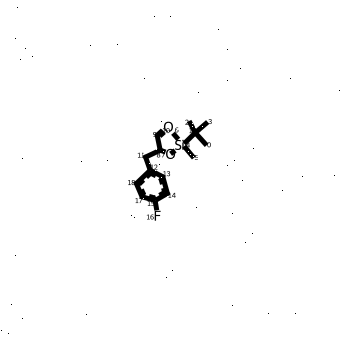 CC(C)(C)[Si](C)(C)OC(C=O)Cc1ccc(F)cc1